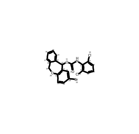 O=C(Nc1c(Cl)cccc1Cl)OC1c2ccccc2COc2ccc(Br)cc21